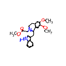 COC(=O)CN1CCc2cc(OC)c(OC)cc2C1Cc1c[nH]c2ccccc12